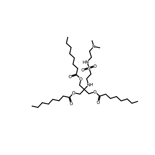 CCCCCCCC(=O)OCC(COC(=O)CCCCCCC)(COC(=O)CCCCCCC)NCCS(=O)(=O)NCCN(C)C